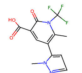 Cc1c(-c2ccnn2C)cc(C(=O)O)c(=O)n1C(F)(F)F